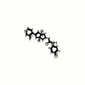 O=C(C[C@H]1C[C@@H]2CC(c3ccncc3F)=C[C@@H]2C1)Nc1ccc(Cl)cc1